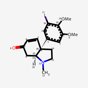 COc1cc([C@@]23C=CC(=O)C[C@@H]2N(C)CC3)cc(I)c1OC